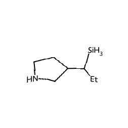 CCC([SiH3])C1CCNC1